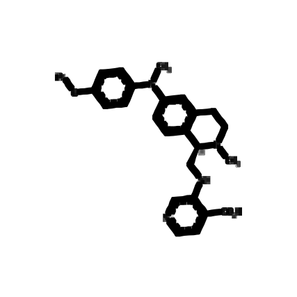 CC(C)Oc1ccc(N(C)c2ccc3c(c2)CCN(C)[C@H]3CNc2cnccc2C(=O)O)cc1